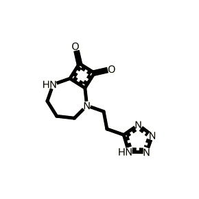 O=c1c2c(c1=O)N(CCc1nnn[nH]1)CCCN2